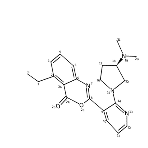 CCc1cccc2nc(-c3cccnc3N3CC[C@@H](N(C)C)C3)oc(=O)c12